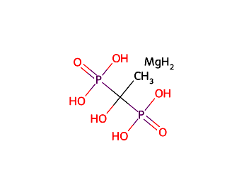 CC(O)(P(=O)(O)O)P(=O)(O)O.[MgH2]